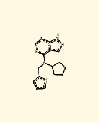 c1csc(CN(c2ncnc3[nH]ncc23)C2CCCC2)c1